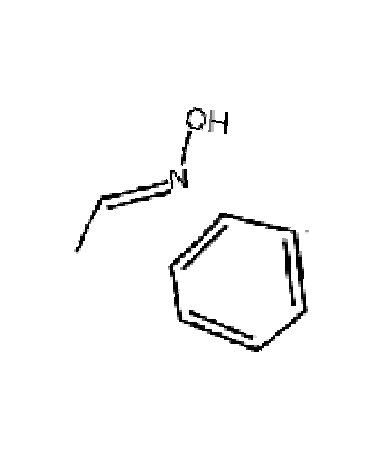 CC=NO.[c]1ccccc1